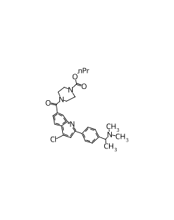 CCCOC(=O)N1CCN(C(=O)c2ccc3c(Cl)cc(-c4ccc(C(C)N(C)C)cc4)nc3c2)CC1